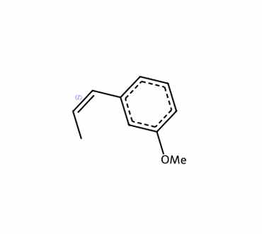 C/C=C\c1cccc(OC)c1